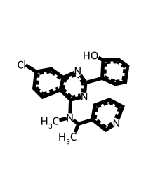 CC(c1cccnc1)N(C)c1nc(-c2ccccc2O)nc2cc(Cl)ccc12